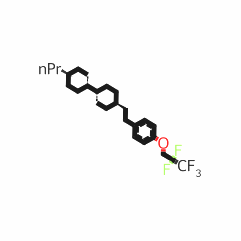 CCC[C@H]1CC[C@H]([C@H]2CC[C@H](CCc3ccc(OCC(F)(F)C(F)(F)F)cc3)CC2)CC1